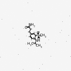 CC(C)NN1C=CC([CH]CC(N)=O)=C[C@@H]1S(C)(=O)=O